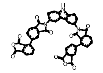 O=C1OC(=O)c2cc(-c3cccc4c3C(=O)N(c3ccc5[nH]c6ccc(N7C(=O)c8ccc(-c9cccc%10c9C(=O)OC%10=O)cc8C7=O)cc6c5c3)C4=O)ccc21